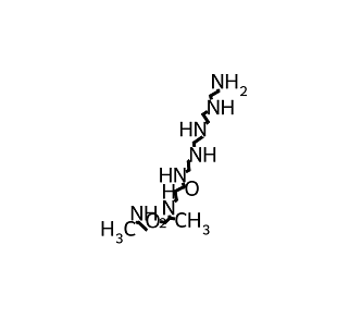 CC(N)COCC(C)NCCC(=O)NCCNCCNCCNCCN